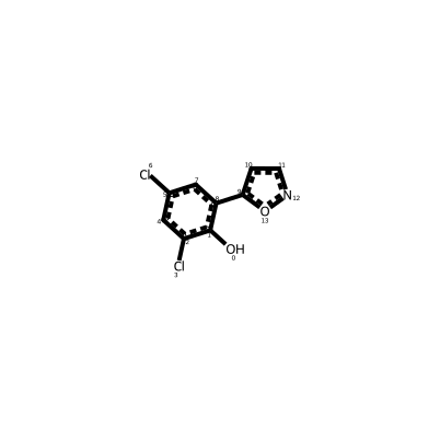 Oc1c(Cl)cc(Cl)cc1-c1ccno1